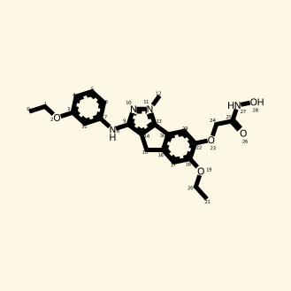 CCOc1cccc(Nc2nn(C)c3c2Cc2cc(OCC)c(OCC(=O)NO)cc2-3)c1